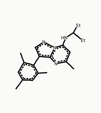 CCC(CC)Nc1cc(C)nc2c(-c3c(C)cc(C)cc3C)cnn12